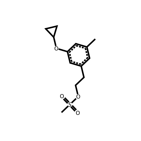 Cc1cc(CCOS(C)(=O)=O)cc(OC2CC2)c1